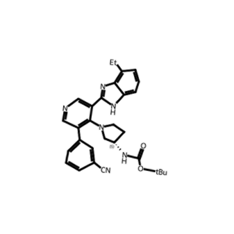 CCc1cccc2[nH]c(-c3cncc(-c4cccc(C#N)c4)c3N3CC[C@H](NC(=O)OC(C)(C)C)C3)nc12